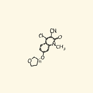 Cn1c(=O)c(C#N)c(Cl)c2ccc(O[C@@H]3CCOC3)cc21